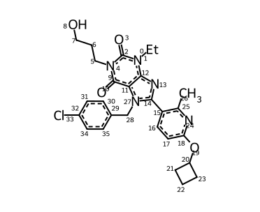 CCn1c(=O)n(CCCO)c(=O)c2c1nc(-c1ccc(OC3CCC3)nc1C)n2Cc1ccc(Cl)cc1